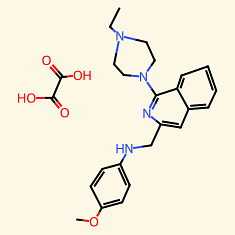 CCN1CCN(c2nc(CNc3ccc(OC)cc3)cc3ccccc23)CC1.O=C(O)C(=O)O